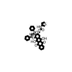 O=C(Nc1ccsc1)OC[C@]1(OB(O)c2ccccc2)Cc2c(O)c3c(c(O)c2[C@@H](OB(O)c2ccccc2)C1)C(=O)c1ccccc1C3=O